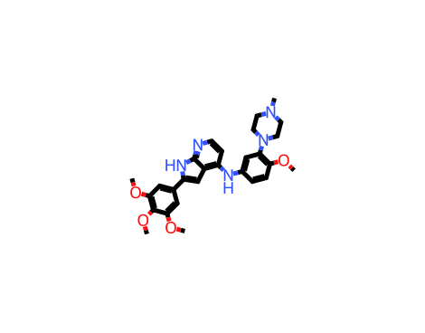 COc1ccc(Nc2ccnc3[nH]c(-c4cc(OC)c(OC)c(OC)c4)cc23)cc1N1CCN(C)CC1